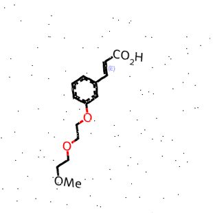 COCCOCCOc1cccc(/C=C/C(=O)O)c1